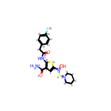 NC(=O)c1cc(N(O)SN2CCCCC2)sc1NC(=O)Cc1ccc(F)cc1